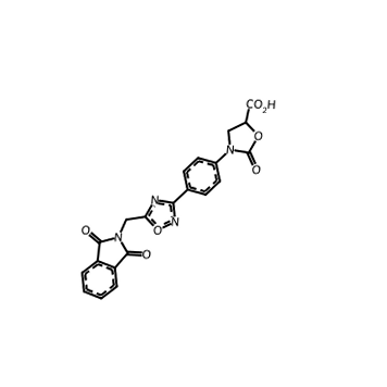 O=C(O)C1CN(c2ccc(-c3noc(CN4C(=O)c5ccccc5C4=O)n3)cc2)C(=O)O1